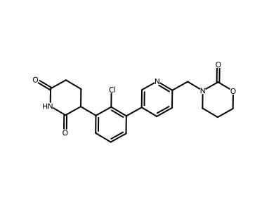 O=C1CCC(c2cccc(-c3ccc(CN4CCCOC4=O)nc3)c2Cl)C(=O)N1